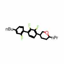 CCCCc1ccc(-c2ccc(C3CCC(CCC)OC3)c(F)c2F)c(F)c1